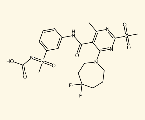 Cc1nc(S(C)(=O)=O)nc(N2CCCC(F)(F)CC2)c1C(=O)Nc1cccc(S(C)(=O)=NC(=O)O)c1